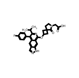 CC(C)c1nc(OC2CC3(CCN(CC(=O)O)C3=O)C2)c2cc3[nH]ncc3cc2c1-c1ccc(F)cc1